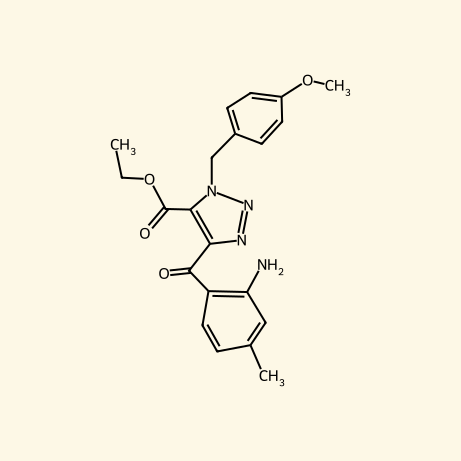 CCOC(=O)c1c(C(=O)c2ccc(C)cc2N)nnn1Cc1ccc(OC)cc1